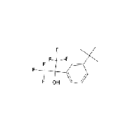 CC(C)(C)c1cccc(C(O)(C(F)(F)F)C(F)(F)F)c1